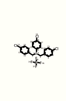 Clc1ccc(C[S+](Cc2ccc(Cl)cc2)c2ccc(Cl)cc2)cc1.F[B-](F)(F)F